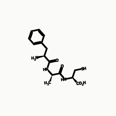 C[C@H](NC(=O)[C@@H](N)Cc1ccccc1)C(=O)N[C@@H](CS)C(=O)O